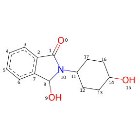 O=C1c2ccccc2C(O)N1C1CCC(O)CC1